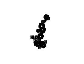 Cc1cc(-n2ccc3cc(OC[C@H]4CCCO4)ccc3c2=O)ccc1O[C@H]1C[C@H]2CC[C@@H](C1)N2Cc1ncc[nH]1